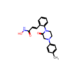 Cc1ccc(N2CCN(c3ccccc3C=CC(=O)NO)C(=O)C2)cc1